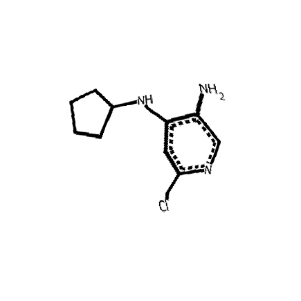 Nc1cnc(Cl)cc1NC1CCCC1